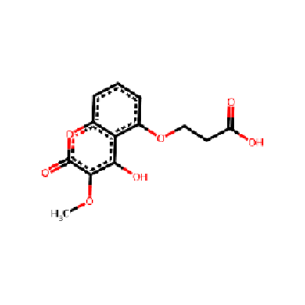 COc1c(O)c2c(OCCC(=O)O)cccc2oc1=O